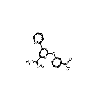 C=C(C)c1cc(-c2ccccn2)cc(Oc2cccc([N+](=O)[O-])c2)n1